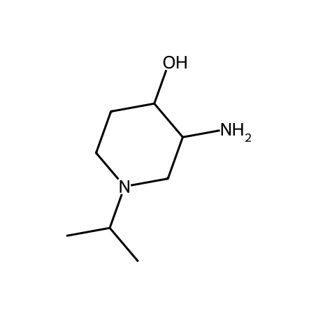 CC(C)N1CCC(O)C(N)C1